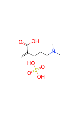 C=C(CCCN(C)C)C(=O)O.O=S(=O)(O)O